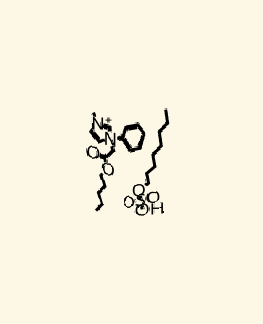 CCCCCCCCOS(=O)(=O)O.CCCCCOC(=O)C[N+]1(c2ccccc2)C=C[N+](C)=C1